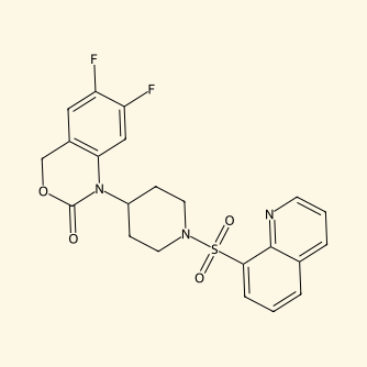 O=C1OCc2cc(F)c(F)cc2N1C1CCN(S(=O)(=O)c2cccc3cccnc23)CC1